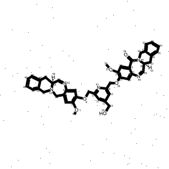 COc1cc2c(cc1OCc1cc(CO)cc(COc3cc4c(cc3OC)C(=O)N3Cc5ccccc5C[C@H]3C=N4)n1)N=C[C@@H]1Cc3ccccc3CN1C2